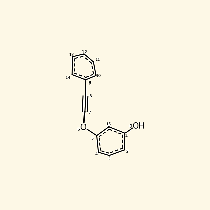 Oc1cccc(OC#Cc2ccccc2)c1